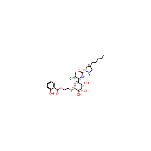 CCCCC[C@@H]1C[C@@H](C(=O)N[C@@H]([C@H]2O[C@H](SCCOC(=O)c3ccccc3O)[C@H](O)[C@@H](O)[C@H]2O)[C@H](C)Cl)N(C)C1